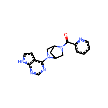 O=C(c1ccccn1)N1CC2CC1CN2c1ncnc2[nH]ccc12